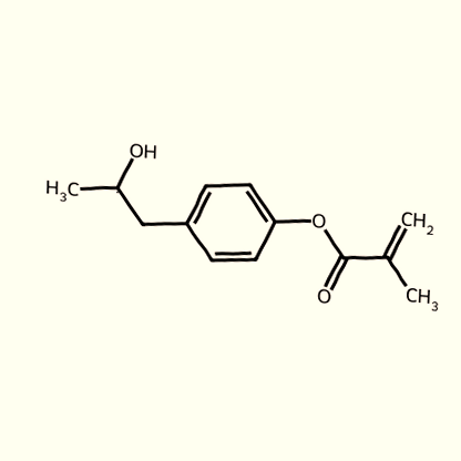 C=C(C)C(=O)Oc1ccc(C[C](C)O)cc1